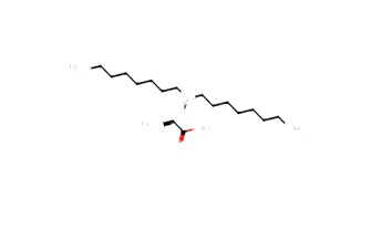 C=CC(=O)O.CCCCCCC[CH2][Sn]([Cl])[CH2]CCCCCCC